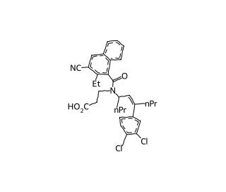 CCCC(=CC(CCC)N(CCC(=O)O)C(=O)c1c(CC)c(C#N)cc2ccccc12)c1ccc(Cl)c(Cl)c1